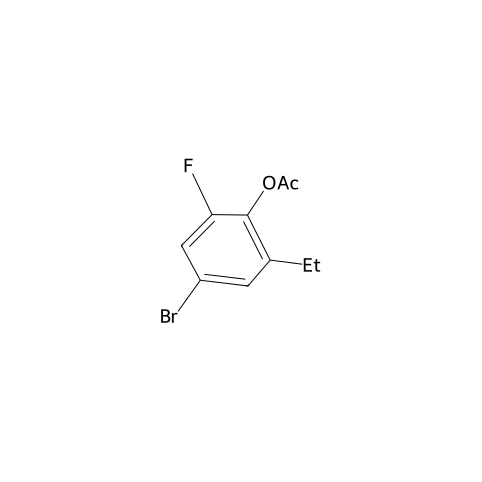 CCc1cc(Br)cc(F)c1OC(C)=O